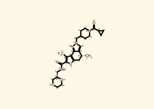 C[C@@H]1Cc2oc(C(=O)NC[C@@H]3COCCO3)c(C(F)(F)F)c2-c2nn(CC3CCN(C(=O)C4CC4)CC3)cc21